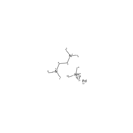 CN(C)CCN(C)C.C[NH2+]C.[Cl-].[Pd]